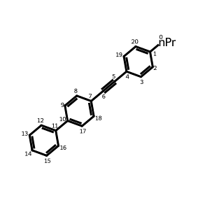 CCCc1ccc(C#Cc2ccc(-c3ccccc3)cc2)cc1